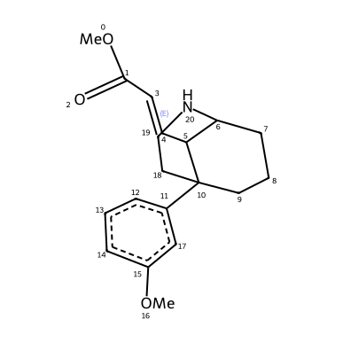 COC(=O)/C=C/C1C2CCCC1(c1cccc(OC)c1)CCN2